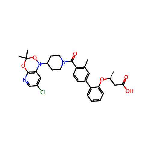 Cc1cc(-c2ccccc2O[C@H](C)CC(=O)O)ccc1C(=O)N1CCC(N2OC(C)(C)Oc3ncc(Cl)cc32)CC1